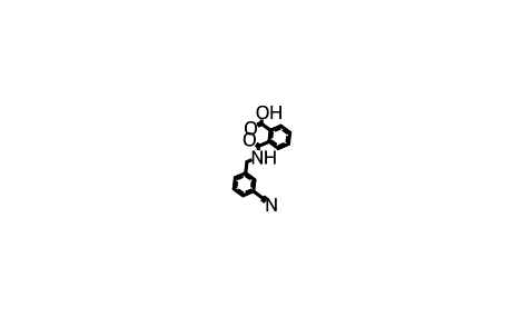 N#Cc1cccc(CNC(=O)c2ccccc2C(=O)O)c1